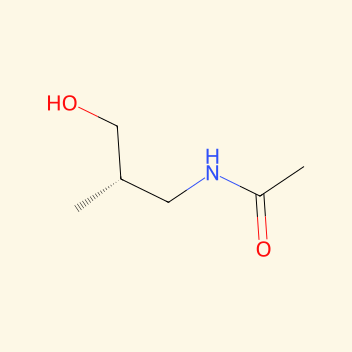 CC(=O)NC[C@H](C)CO